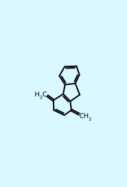 C=c1ccc(=C)c2c1Cc1ccccc1-2